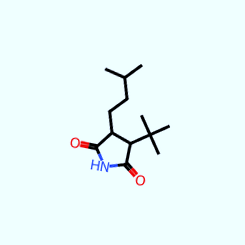 CC(C)CCC1C(=O)NC(=O)C1C(C)(C)C